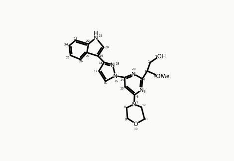 COC(CO)c1nc(N2CCOCC2)cc(-n2ccc(-c3c[nH]c4ccccc34)n2)n1